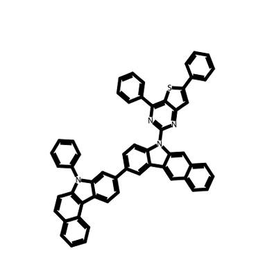 c1ccc(-c2cc3nc(-n4c5ccc(-c6ccc7c8c9ccccc9ccc8n(-c8ccccc8)c7c6)cc5c5cc6ccccc6cc54)nc(-c4ccccc4)c3s2)cc1